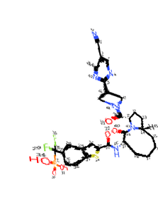 N#Cc1cnc(C2CN(C(=O)[C@@H]3CC[C@@H]4CCCC[C@H](NC(=O)c5cc6cc(C(F)(F)P(=O)(O)O)ccc6s5)C(=O)N43)C2)nc1